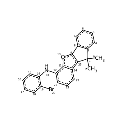 CC1(C)c2ccccc2-c2oc3c(Nc4ccccc4Br)cccc3c21